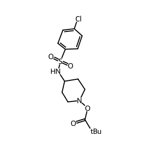 CC(C)(C)C(=O)ON1CCC(NS(=O)(=O)c2ccc(Cl)cc2)CC1